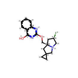 Oc1nc(OC[C@@]23C[C@@H](F)CN2CC2(CC2)C3)nc2ccccc12